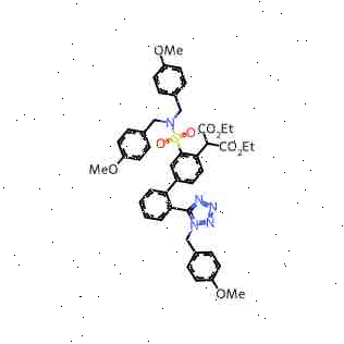 CCOC(=O)C(C(=O)OCC)c1ccc(-c2ccccc2-c2nnnn2Cc2ccc(OC)cc2)cc1S(=O)(=O)N(Cc1ccc(OC)cc1)Cc1ccc(OC)cc1